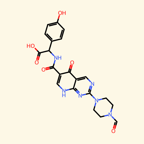 O=CN1CCN(c2ncc3c(=O)c(C(=O)NC(C(=O)O)c4ccc(O)cc4)c[nH]c3n2)CC1